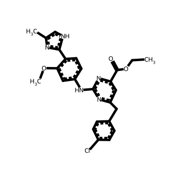 CCOC(=O)c1cc(Cc2ccc(Cl)cc2)nc(Nc2ccc(-c3nc(C)c[nH]3)c(OC)c2)n1